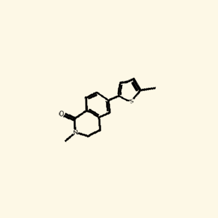 Cc1ccc(-c2ccc3c(c2)CCN(C)C3=O)s1